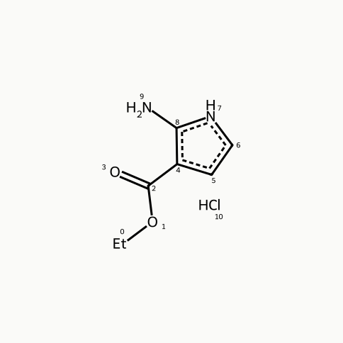 CCOC(=O)c1cc[nH]c1N.Cl